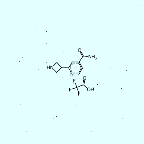 NC(=O)c1ccnc(C2CNC2)c1.O=C(O)C(F)(F)F